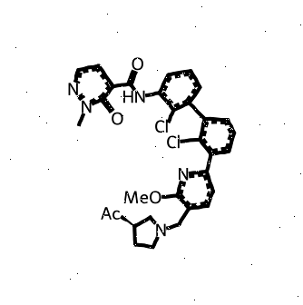 COc1nc(-c2cccc(-c3cccc(NC(=O)c4ccnn(C)c4=O)c3Cl)c2Cl)ccc1CN1CC[C@@H](C(C)=O)C1